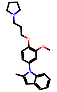 COc1cc(-n2c(C)cc3ccccc32)ccc1OCCCN1CCCC1